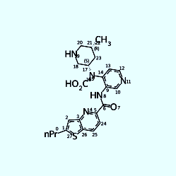 CCCc1cc2nc(C(=O)Nc3cnccc3N(C(=O)O)[C@@H]3CNC[C@H](C)C3)ccc2s1